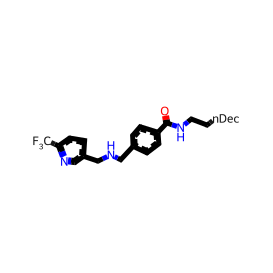 CCCCCCCCCCCCNC(=O)c1ccc(CNCc2ccc(C(F)(F)F)nc2)cc1